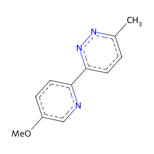 COc1ccc(-c2ccc(C)nn2)nc1